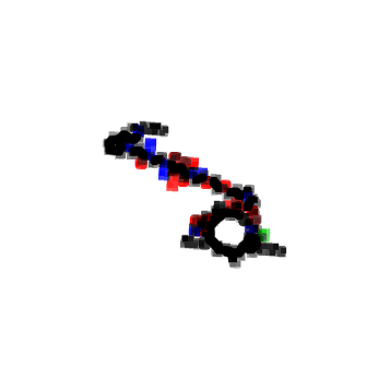 CNN(C)Cc1cc2ccccc2n1CCC(=O)NCCNC(=O)[C@H](O)[C@H](O)C(=O)NCCOCCOCCC(=O)N(C)[C@@H](C)C(=O)O[C@H]1CC(=O)N(C)c2cc(cc(OC)c2Cl)C/C(C)=C/C=C/[C@@H](OC)[C@@]2(O)C[C@H](OC(=O)N2)[C@@H](C)[C@@H]2O[C@@]12C